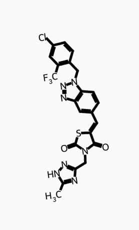 Cc1nc(CN2C(=O)SC(=Cc3ccc4c(c3)nnn4Cc3ccc(Cl)cc3C(F)(F)F)C2=O)n[nH]1